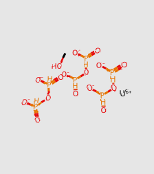 CO.O=[PH]([O-])O[PH](=O)[O-].O=[PH]([O-])O[PH](=O)[O-].O=[PH]([O-])O[PH](=O)[O-].[U+6]